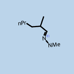 CCCCC(C)/C=N/NC